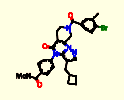 CNC(=O)c1ccc(-n2c(=O)c3c(n4ncc(CC5CCC5)c24)CN(C(=O)c2ccc(Br)c(C)c2)CC3)cc1